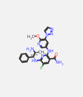 COc1ncc(Nc2nc(N[C@H](c3ccccc3)[C@H](C)N)c(F)cc2C(N)=O)cc1-n1ccnn1